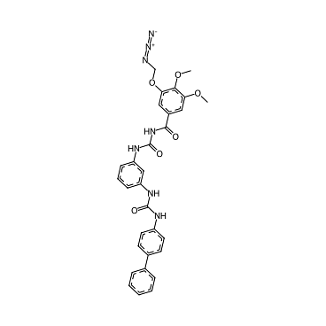 COc1cc(C(=O)NC(=O)Nc2cccc(NC(=O)Nc3ccc(-c4ccccc4)cc3)c2)cc(OCN=[N+]=[N-])c1OC